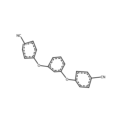 N#Cc1ccc(Oc2cccc(Oc3ccc(C#N)cc3)c2)cc1